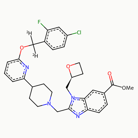 [2H]C([2H])(Oc1cccc(C2CCN(Cc3nc4ccc(C(=O)OC)cc4n3C[C@@H]3CCO3)CC2)n1)c1ccc(Cl)cc1F